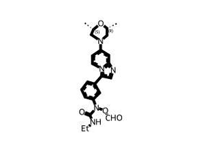 CCNC(=O)N(OC=O)c1cccc(-c2cnc3cc(N4C[C@@H](C)O[C@@H](C)C4)ccn23)c1